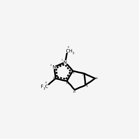 Cn1nc(C(F)(F)F)c2c1C1CC1C2